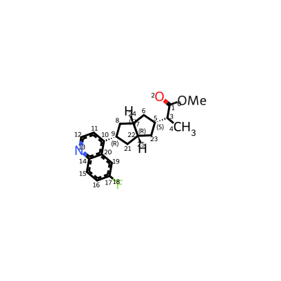 COC(=O)C(C)[C@H]1C[C@H]2C[C@@H](c3ccnc4ccc(F)cc34)C[C@H]2C1